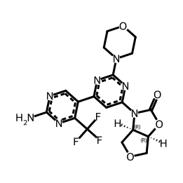 Nc1ncc(-c2cc(N3C(=O)O[C@H]4COC[C@H]43)nc(N3CCOCC3)n2)c(C(F)(F)F)n1